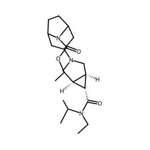 CCOC(=O)N1C2CCC1CC(N1C[C@@H]3[C@H](C1)[C@H]3C(=O)N(CC)C(C)C)C2